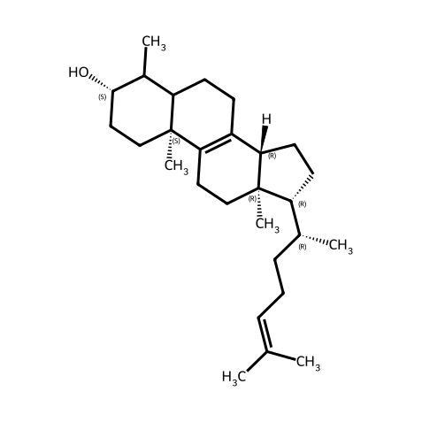 CC(C)=CCC[C@@H](C)[C@H]1CC[C@H]2C3=C(CC[C@]12C)[C@@]1(C)CC[C@H](O)C(C)C1CC3